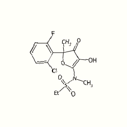 CCS(=O)(=O)N(C)C1=C(O)C(=O)C(C)(c2c(F)cccc2Cl)O1